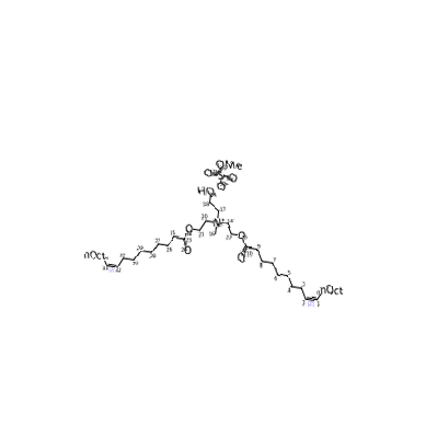 CCCCCCCC/C=C\CCCCCCCC(=O)OCC[N+](C)(CCO)CCOC(=O)CCCCCCC/C=C\CCCCCCCC.COS(=O)(=O)[O-]